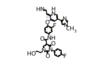 Cn1cnc(C2=CN/C(=C\C=N)C(Oc3ccc(NC(=O)c4cn(CCO)c(=O)n(-c5ccc(F)cc5)c4=O)cc3F)=C2)c1